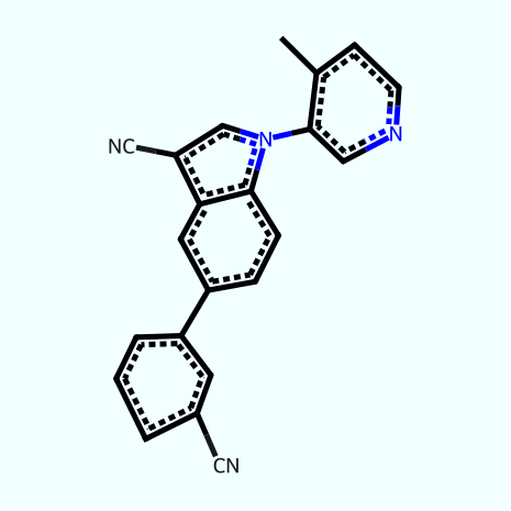 Cc1ccncc1-n1cc(C#N)c2cc(-c3cccc(C#N)c3)ccc21